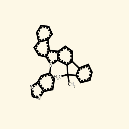 CC1(C)c2ccccc2-c2ccc3c4c5ccccc5ccc4n(-c4ccc5ncsc5c4)c3c21